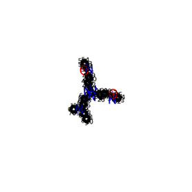 c1ccc(-n2c3cc4ccccc4cc3c3cc4cc(-c5nc(-c6ccc7cc(-c8nc9ccccc9o8)ccc7c6)nc(-c6ccc7cc(-c8nc9ccccc9o8)ccc7c6)n5)ccc4cc32)cc1